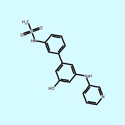 CS(=O)(=O)Nc1cccc(-c2cc(O)cc([AsH]c3cccnc3)c2)c1